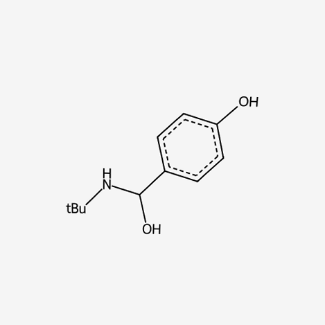 CC(C)(C)NC(O)c1ccc(O)cc1